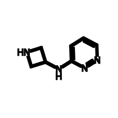 c1cnnc(NC2CNC2)c1